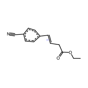 CCOC(=O)C/C=C/c1ccc(C#N)cc1